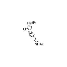 CC(=O)N[C@@H](C)/C=C/c1ccc(Oc2ccc(NC(C)C)cc2Cl)nc1